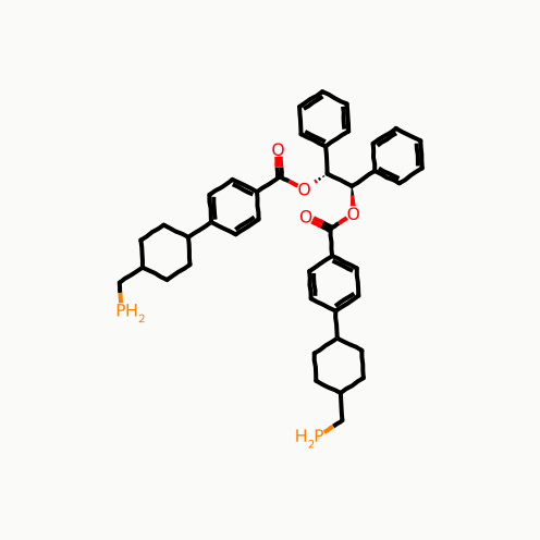 O=C(O[C@H](c1ccccc1)[C@H](OC(=O)c1ccc(C2CCC(CP)CC2)cc1)c1ccccc1)c1ccc(C2CCC(CP)CC2)cc1